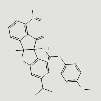 COc1ccc(NC(=O)NC23C(=O)c4c([N+](=O)[O-])cccc4C2(O)Oc2cc(C(C)C)ccc23)cc1